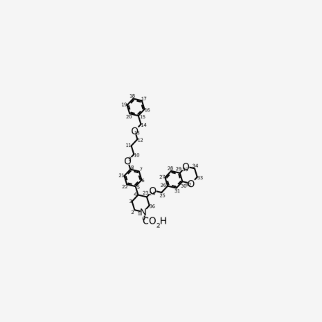 O=C(O)N1CCC(c2ccc(OCCCOCc3ccccc3)cc2)C(OCc2ccc3c(c2)OCCO3)C1